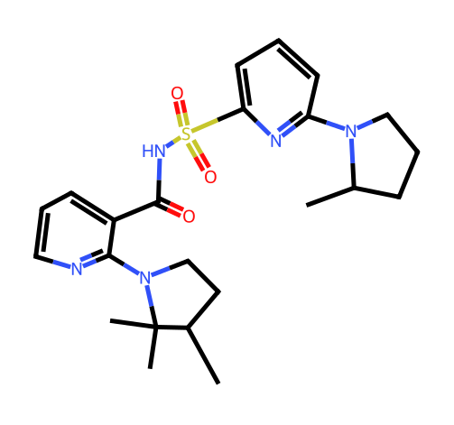 CC1CCCN1c1cccc(S(=O)(=O)NC(=O)c2cccnc2N2CCC(C)C2(C)C)n1